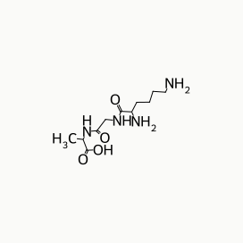 CC(NC(=O)CNC(=O)C(N)CCCCN)C(=O)O